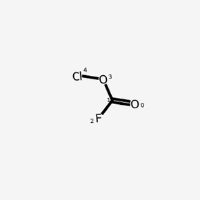 O=C(F)OCl